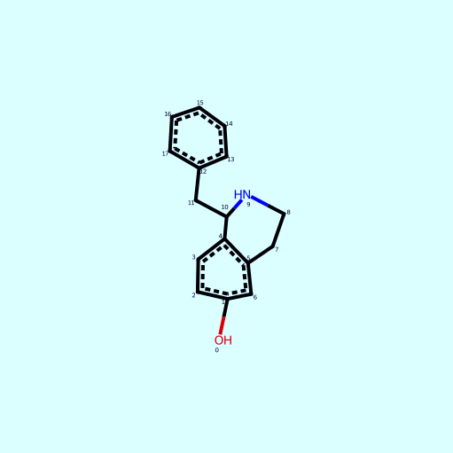 Oc1ccc2c(c1)CCNC2Cc1ccccc1